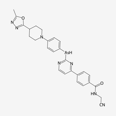 Cc1nnc(C2CCN(c3ccc([AsH]c4nccc(-c5ccc(C(=O)NCC#N)cc5)n4)cc3)CC2)o1